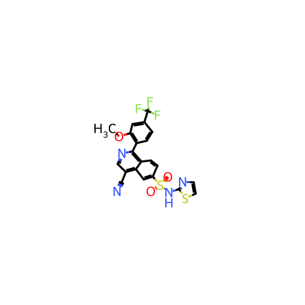 COc1cc(C(F)(F)F)ccc1-c1ncc(C#N)c2cc(S(=O)(=O)Nc3nccs3)ccc12